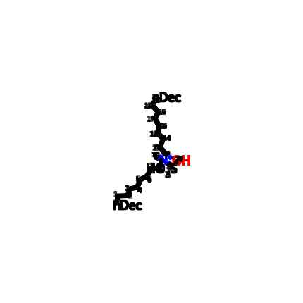 CCCCCCCCCCCCCCCCCC[N+](C)(C)CCCCCCCCCCCCCCCCCC.O=S(=O)(O)O